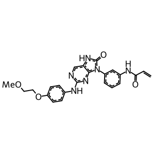 C=CC(=O)Nc1cccc(-n2c(=O)[nH]c3cnc(Nc4ccc(OCCOC)cc4)nc32)c1